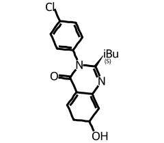 CC[C@H](C)c1nc2c(c(=O)n1-c1ccc(Cl)cc1)=CCC(O)C=2